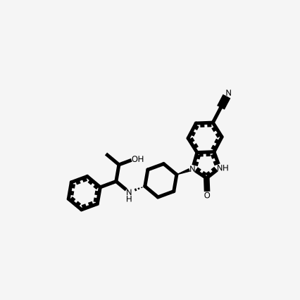 CC(O)C(N[C@H]1CC[C@H](n2c(=O)[nH]c3cc(C#N)ccc32)CC1)c1ccccc1